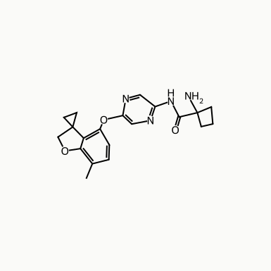 Cc1ccc(Oc2cnc(NC(=O)C3(N)CCC3)cn2)c2c1OCC21CC1